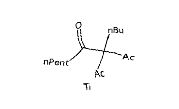 CCCCCC(=O)C(CCCC)(C(C)=O)C(C)=O.[Ti]